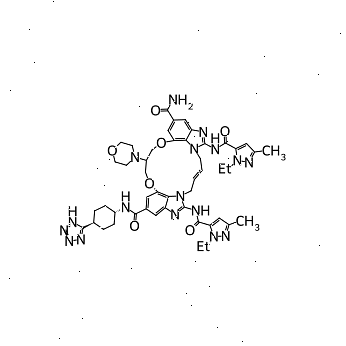 CCn1nc(C)cc1C(=O)Nc1nc2cc(C(N)=O)cc3c2n1C/C=C/Cn1c(NC(=O)c2cc(C)nn2CC)nc2cc(C(=O)N[C@H]4CC[C@H](c5nnn[nH]5)CC4)cc(c21)OCC(N1CCOCC1)CO3